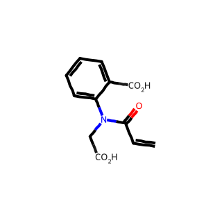 C=CC(=O)N(CC(=O)O)c1ccccc1C(=O)O